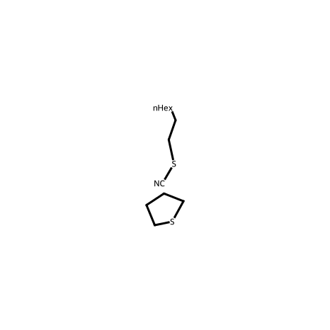 C1CCSC1.CCCCCCCCSC#N